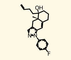 C=CCC[C@]1(O)CCCC2=Cc3c(cnn3-c3ccc(F)cc3)C[C@@]21C